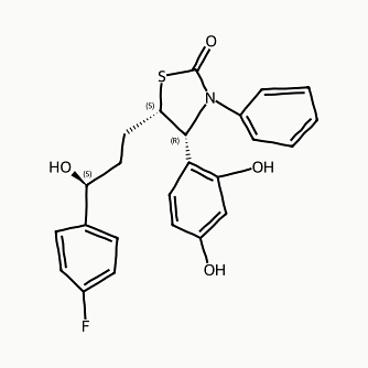 O=C1S[C@@H](CC[C@H](O)c2ccc(F)cc2)[C@@H](c2ccc(O)cc2O)N1c1ccccc1